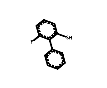 Fc1cccc(S)c1-c1ccccc1